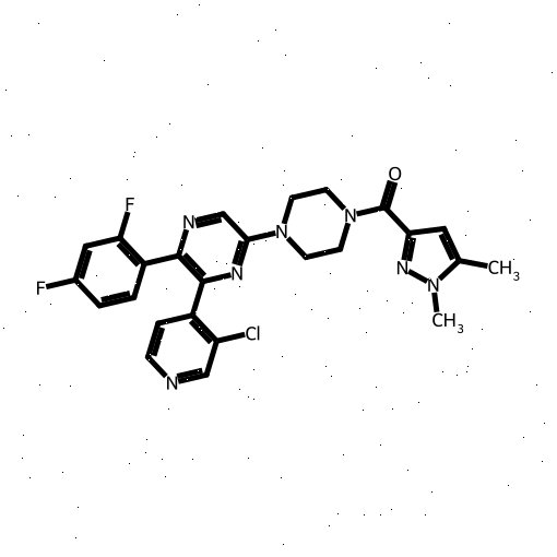 Cc1cc(C(=O)N2CCN(c3cnc(-c4ccc(F)cc4F)c(-c4ccncc4Cl)n3)CC2)nn1C